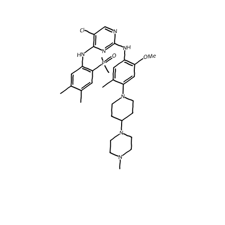 COc1cc(N2CCC(N3CCN(C)CC3)CC2)c(C)cc1Nc1ncc(Cl)c(Nc2cc(C)c(C)cc2P(C)(C)=O)n1